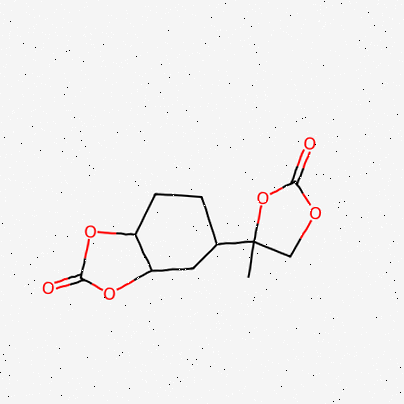 CC1(C2CCC3OC(=O)OC3C2)COC(=O)O1